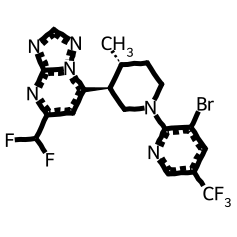 C[C@@H]1CCN(c2ncc(C(F)(F)F)cc2Br)C[C@H]1c1cc(C(F)F)nc2ncnn12